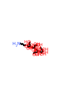 NCCCCCOC1OC(CO)C(O)C(OC2OC([C@H](O)CO)C(OC3OC(CO)C(O)C(OC4OC(CO)C(O)C(O)C4O)C3O)C2O)C1O